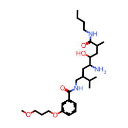 CCCCNC(=O)C(C)CC(O)C(N)CC(CNC(=O)c1cccc(OCCCOC)c1)C(C)C